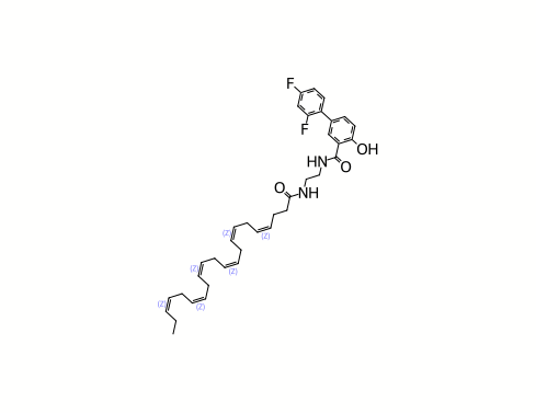 CC/C=C\C/C=C\C/C=C\C/C=C\C/C=C\C/C=C\CCC(=O)NCCNC(=O)c1cc(-c2ccc(F)cc2F)ccc1O